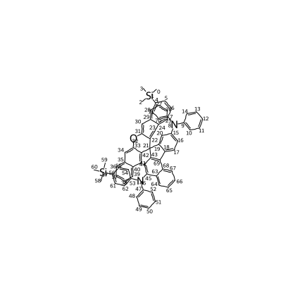 C[Si](C)(C)c1ccc(N(c2ccccc2)c2ccc3c(c2)C2(c4cc5ccccc5cc4Oc4cc5ccccc5cc42)c2cc(N(c4ccccc4)c4ccc([Si](C)(C)C)cc4)c4ccccc4c2-3)cc1